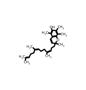 CC(C)=CCCC(C)=CCCC(C)=CCCC1(C)C=Cc2c(C)c(O)c(C)c(C)c2O1